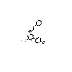 Clc1ccc(-c2nc(NCCc3ccncc3)nc(C(Cl)(Cl)Cl)n2)cc1